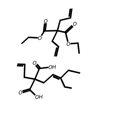 C=CCC(CC=C(CC)CC)(C(=O)O)C(=O)O.C=CCC(CC=C)(C(=O)OCC)C(=O)OCC